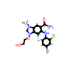 CN1CN(OCCO)c2c1cc(C(N)=O)c(Nc1ccc(Br)cc1Cl)c2F